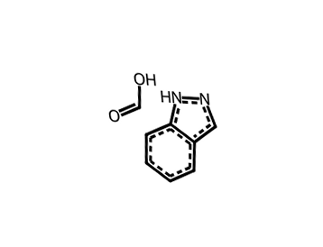 O=CO.c1ccc2[nH]ncc2c1